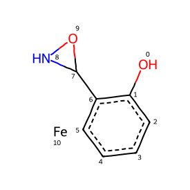 Oc1ccccc1C1NO1.[Fe]